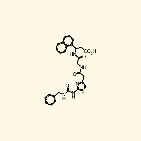 O=C(O)CC(NC(=O)CNC(=O)Cc1csc(NC(=O)NCc2ccccc2)n1)c1cccc2ccccc12